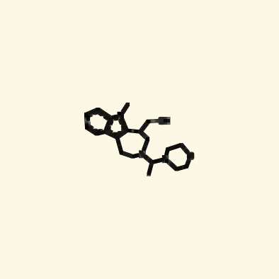 CC(N1CCOCC1)N1CCc2c(n(C)c3ccccc23)C(CO)C1